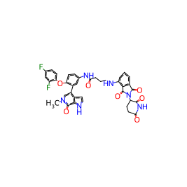 Cn1cc(-c2cc(NC(=O)CCCNc3cccc4c3C(=O)N(C3CCC(=O)NC3=O)C4=O)ccc2Oc2ccc(F)cc2F)c2cc[nH]c2c1=O